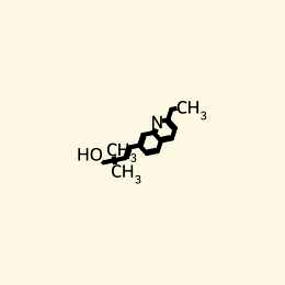 CCc1ccc2ccc(/C=C/C(C)(C)CO)cc2n1